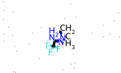 C=CN(C)/N=C(\N)C(F)(F)F